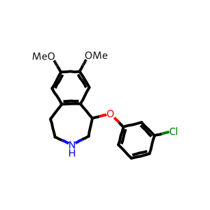 COc1cc2c(cc1OC)C(Oc1cccc(Cl)c1)CNCC2